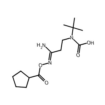 CC(C)(C)N(CCC(N)=NOC(=O)C1CCCC1)C(=O)O